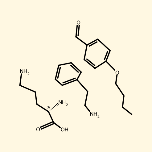 CCCCOc1ccc(C=O)cc1.NCCC[C@H](N)C(=O)O.NCCc1ccccc1